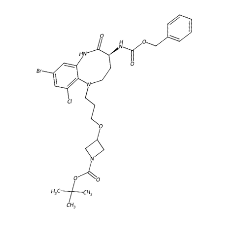 CC(C)(C)OC(=O)N1CC(OCCCN2CC[C@H](NC(=O)OCc3ccccc3)C(=O)Nc3cc(Br)cc(Cl)c32)C1